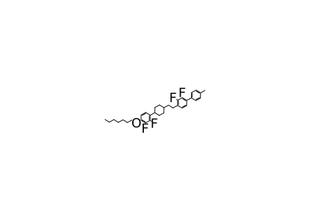 CCCCCCCOc1ccc(C2CCC(CCc3ccc(-c4ccc(C)cc4)c(F)c3F)CC2)c(F)c1F